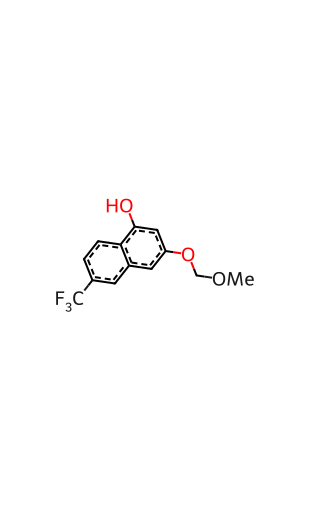 COCOc1cc(O)c2ccc(C(F)(F)F)cc2c1